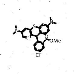 COC(=O)c1ccccc1C1C2=C(C=C(N(C)C)C=[C+]2)Sc2cc(N(C)C)ccc21.[Cl-]